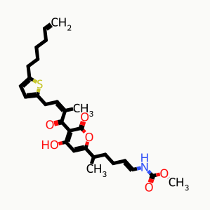 C=CCCCCc1ccc(C/C=C(/C)C(=O)c2c(O)cc(C(C)CC/C=C/NC(=O)OC)oc2=O)s1